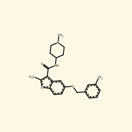 Cc1oc2ccc(OCc3cccc(C(F)(F)F)c3)cc2c1C(=O)NC1CCN(C)CC1